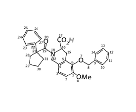 COc1ccc2c(c1OCc1ccccc1)CC(C(=O)O)N(C(=O)C1(c3ccccc3)CCCC1)C2